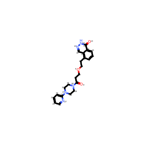 O=C(CCOCCc1cccc2c(=O)[nH]ncc12)N1CCN(c2ccccn2)CC1